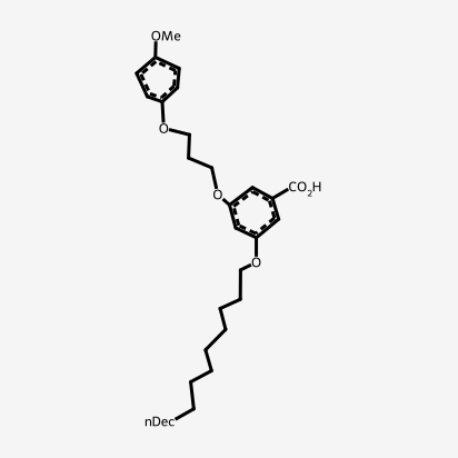 CCCCCCCCCCCCCCCCCCOc1cc(OCCCOc2ccc(OC)cc2)cc(C(=O)O)c1